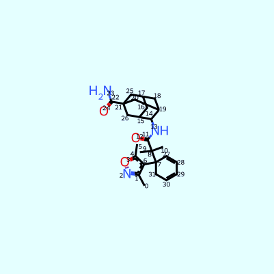 Cc1noc(C)c1C1(C(C)(C)C(=O)NC2C3CC4CC2CC(C(N)=O)(C4)C3)C=CC=CC1